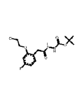 CC(C)(C)OC(=O)NNC(=O)Cc1ccc(F)cc1OCCCl